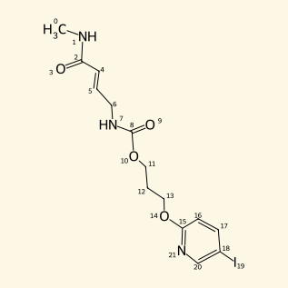 CNC(=O)/C=C/CNC(=O)OCCCOc1ccc(I)cn1